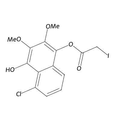 COc1c(OC)c(O)c2c(Cl)cccc2c1OC(=O)CI